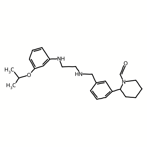 CC(C)Oc1cccc(NCCNCc2cccc(C3CCCCN3C=O)c2)c1